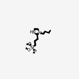 CCCC[n+]1cc[nH]c1CCC[Si](OC)(OC)OC